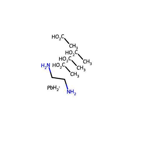 CC(=O)O.CC(=O)O.CC(=O)O.CC(=O)O.NCCN.[PbH2]